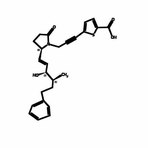 C[C@@H](CCc1ccccc1)[C@H](O)C=C[C@H]1CCC(=O)N1CC#Cc1ccc(C(=O)O)s1